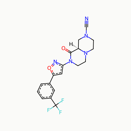 N#CN1CCN2CCN(c3cc(-c4cccc(C(F)(F)F)c4)on3)C(=O)[C@H]2C1